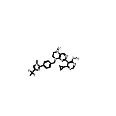 COc1ncnc(C2CC2)c1-c1ncc2c(n1)N(Cc1ccc(-c3nc(C(C)(F)F)cn3C)cc1)CCN2C(C)=O